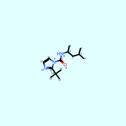 CC(C)CC(C)NC(=O)n1ccnc1C(C)(C)C